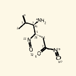 CC(C)[C@@H](N)[C@H](CC(=O)N=O)N=O